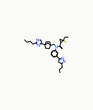 C=C(C1CC1(F)CC)N(CC12CCC(C3=NC(CCCC)=NC3)(CC1)C2)c1cccc(C2=NN=C(CCC)C2)c1